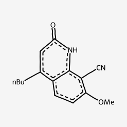 CCCCc1cc(=O)[nH]c2c(C#N)c(OC)ccc12